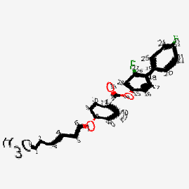 CCCCCCCO[C@H]1CC[C@H](C(=O)Oc2ccc(-c3ccc(F)cc3)c(F)c2)CC1